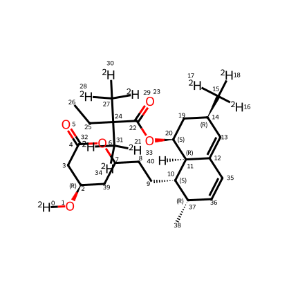 [2H]O[C@H]1CC(=O)OC(CC[C@@H]2[C@@H]3C(=C[C@H](C([2H])([2H])[2H])C[C@@H]3OC(=O)C(CC)(C([2H])([2H])[2H])C([2H])([2H])[2H])C=C[C@@H]2C)C1